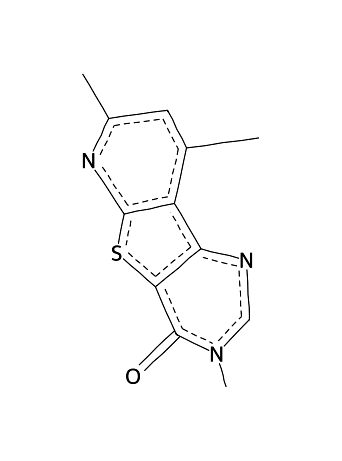 Cc1cc(C)c2c(n1)sc1c(=O)n(C)cnc12